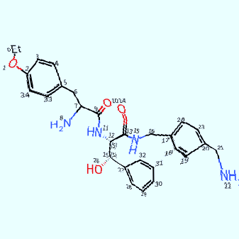 CCOc1ccc(CC(N)C(=O)N[C@H](C(=O)NCc2ccc(CN)cc2)[C@@H](O)c2ccccc2)cc1